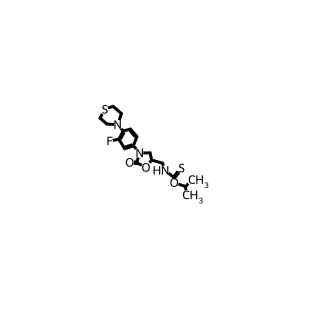 CC(C)OC(=S)NCC1CN(c2ccc(N3CCSCC3)c(F)c2)C(=O)O1